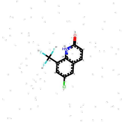 O=c1ccc2cc(Cl)cc(C(F)(F)F)c2[nH]1